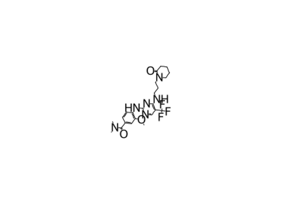 COc1cc(C(=O)N(C)C)ccc1Nc1ncc(C(F)(F)F)c(NCCCN2CCCCC2=O)n1